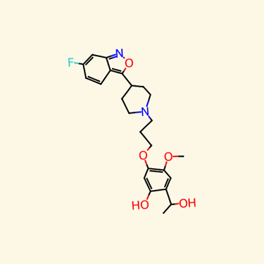 COc1cc(C(C)O)c(O)cc1OCCCN1CCC(c2onc3cc(F)ccc23)CC1